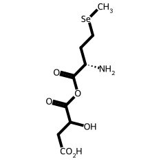 C[Se]CC[C@H](N)C(=O)OC(=O)C(O)CC(=O)O